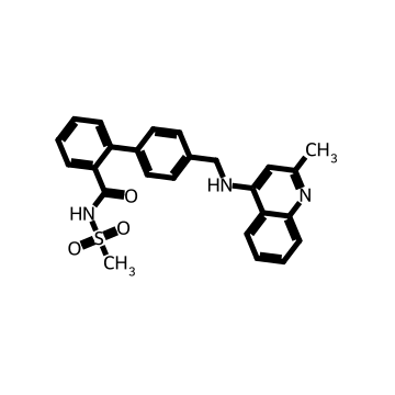 Cc1cc(NCc2ccc(-c3ccccc3C(=O)NS(C)(=O)=O)cc2)c2ccccc2n1